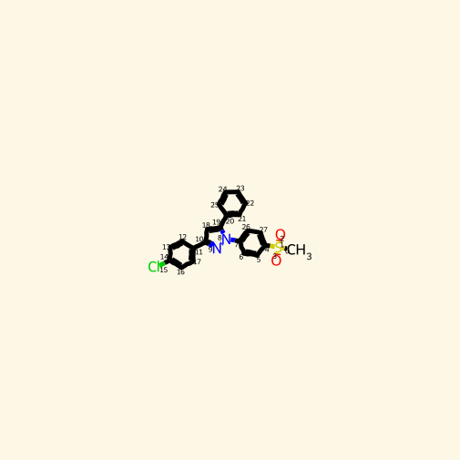 CS(=O)(=O)c1ccc(-n2nc(-c3ccc(Cl)cc3)cc2-c2ccccc2)cc1